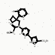 CCOC(=O)c1cc(-c2ccc(N(CC3(c4ncccc4F)CCC3)C(=O)OC(C)(C)C)nn2)[nH]n1